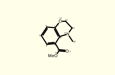 COC(=O)c1cccc2c1N(C)CCO2